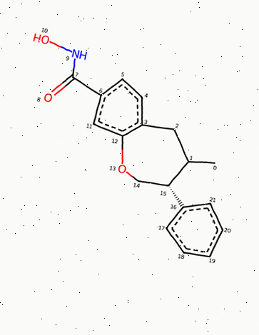 CC1Cc2ccc(C(=O)NO)cc2OC[C@H]1c1ccccc1